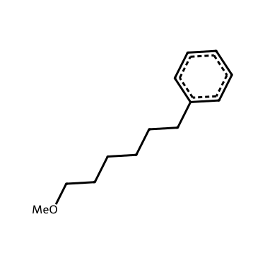 [CH2-][OH+]CCCCCCc1ccccc1